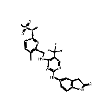 Cc1ccc(N(C)S(C)(=O)=O)nc1CNc1nc(Nc2ccc3c(c2)CC(=O)N3)ncc1C(F)(F)F